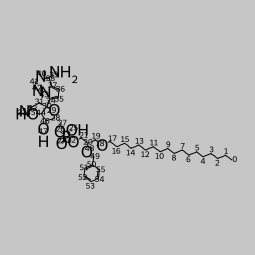 CCCCCCCCCCCCCCCCCCOC[C@H](COP(=O)(O)OC[C@H]1O[C@@](CC#N)(c2ccc3c(N)ncnn23)[C@H](O)[C@@H]1O)OCc1ccccc1